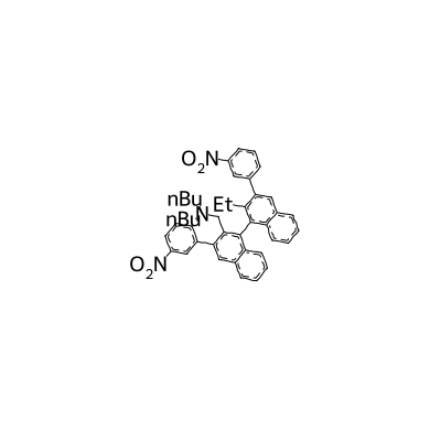 CCCCN(CCCC)Cc1c(-c2cccc([N+](=O)[O-])c2)cc2ccccc2c1-c1c(CC)c(-c2cccc([N+](=O)[O-])c2)cc2ccccc12